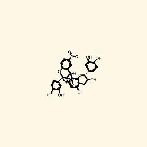 CC[C@H]1[C@H]2c3cc([N+](=O)[O-])ccc3O[C@]1(c1ccc(O)c(O)c1)Oc1cc(O)c3c(c12)O[C@H](c1ccc(O)c(O)c1)[C@@H](O)C3